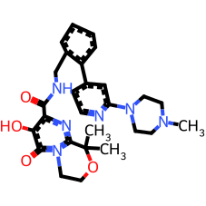 CN1CCN(c2cc(-c3ccccc3CNC(=O)c3nc4n(c(=O)c3O)CCOC4(C)C)ccn2)CC1